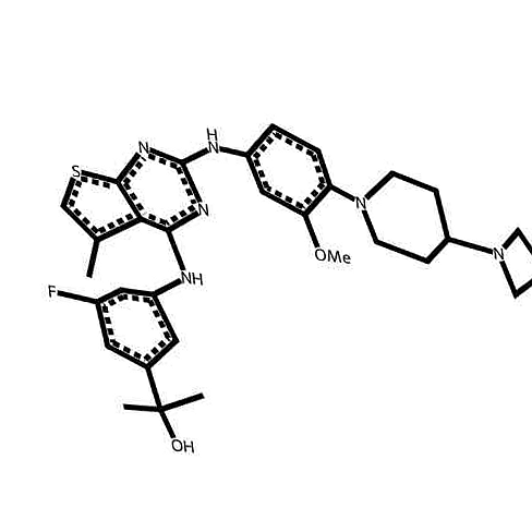 COc1cc(Nc2nc(Nc3cc(F)cc(C(C)(C)O)c3)c3c(C)csc3n2)ccc1N1CCC(N2CCC2)CC1